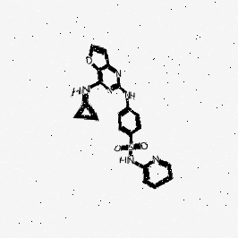 O=S(=O)(Nc1ccccn1)c1ccc(Nc2nc(NC3CC3)c3occc3n2)cc1